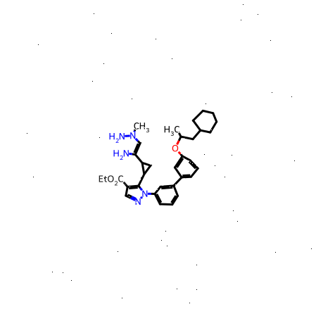 CCOC(=O)c1cnn(-c2cccc(-c3cccc(OC(C)CC4CCCCC4)c3)c2)c1C1CC1/C(N)=C/N(C)N